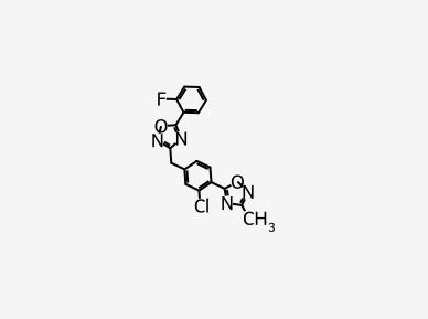 Cc1noc(-c2ccc(Cc3noc(-c4ccccc4F)n3)cc2Cl)n1